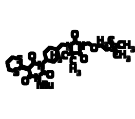 CCCCN1C(=O)C(=C2SCCCS2)C(=O)N(C2CCC(CN3C(=O)N(COCC[Si](C)(C)C)C(=O)C3(C)C)CC2)C1=O